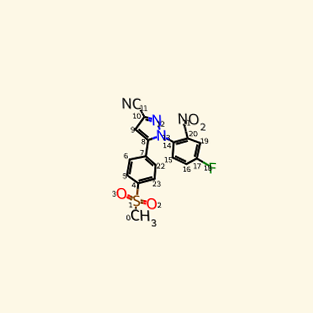 CS(=O)(=O)c1ccc(-c2cc(C#N)nn2-c2ccc(F)cc2[N+](=O)[O-])cc1